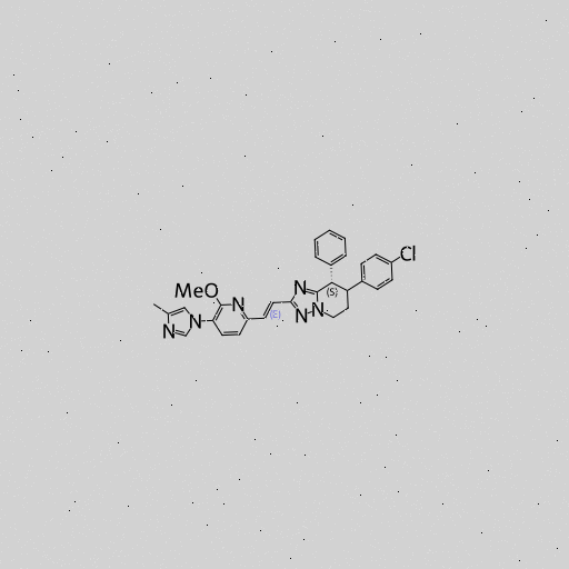 COc1nc(/C=C/c2nc3n(n2)CCC(c2ccc(Cl)cc2)[C@H]3c2ccccc2)ccc1-n1cnc(C)c1